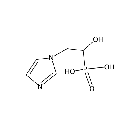 O=P(O)(O)[C](O)Cn1ccnc1